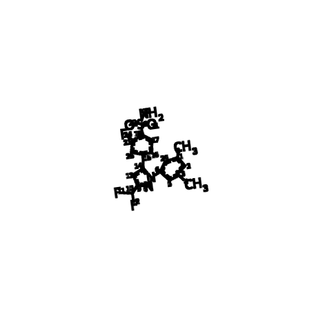 Cc1cc(C)cc(-n2nc(C(F)F)cc2-c2ccc(S(N)(=O)=O)c(F)c2)c1